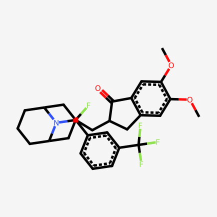 COc1cc2c(cc1OC)C(=O)C(CC1(F)CC3CCCC(C1)N3Cc1cccc(C(F)(F)F)c1)C2